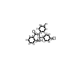 Cc1ccc(N2C(=O)c3ccccc3NC2c2ccc(Cl)cc2)cc1